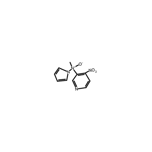 C[N+]([O-])(c1cnccc1[N+](=O)[O-])n1cccc1